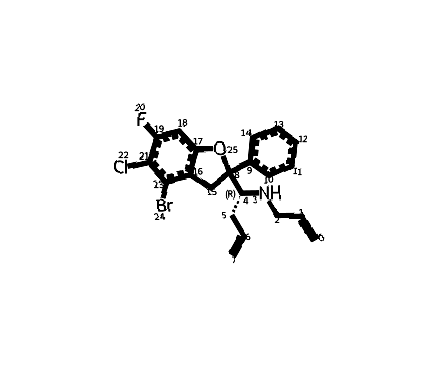 C=CCN[C@H](CC=C)C1(c2ccccc2)Cc2c(cc(F)c(Cl)c2Br)O1